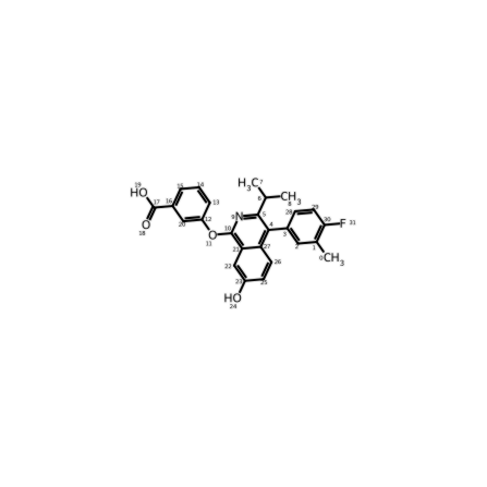 Cc1cc(-c2c(C(C)C)nc(Oc3cccc(C(=O)O)c3)c3cc(O)ccc23)ccc1F